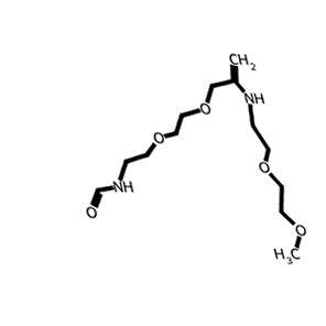 C=C(COCCOCCNC=O)NCCOCCOC